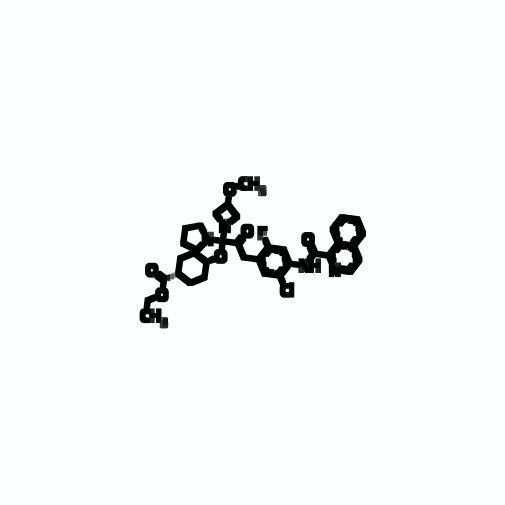 CCOC(=O)[C@H]1CC[C@H](OC(C(=O)Cc2cc(Cl)c(NC(=O)c3nccc4ccccc34)cc2F)(N2CCCC2)N2CC(OC)C2)CC1